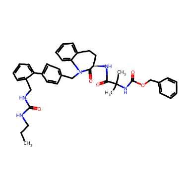 CCCNC(=O)NCc1ccccc1-c1ccc(CN2C(=O)[C@H](NC(=O)C(C)(C)NC(=O)OCc3ccccc3)CCc3ccccc32)cc1